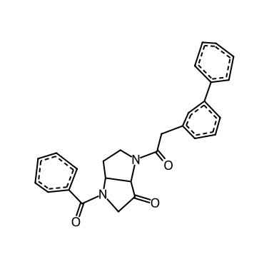 O=C1CN(C(=O)c2ccccc2)C2CCN(C(=O)Cc3cccc(-c4ccccc4)c3)C12